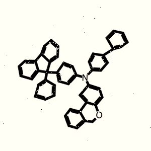 c1ccc(-c2ccc(N(c3ccc(C4(c5ccccc5)c5ccccc5-c5ccccc54)cc3)c3ccc4c(c3)-c3ccccc3CO4)cc2)cc1